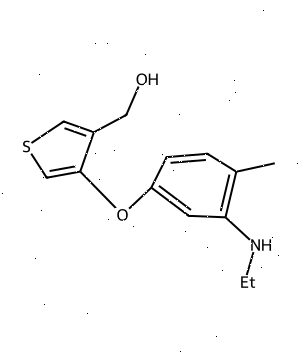 CCNc1cc(Oc2cscc2CO)ccc1C